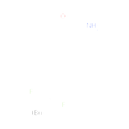 CC(C)(C)C(F)(F)c1ccc(C(N)=O)cc1